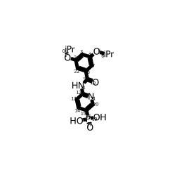 CC(C)Oc1cc(OC(C)C)cc(C(=O)Nc2ccc(P(=O)(O)O)cn2)c1